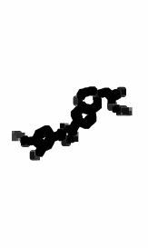 CC(C)Oc1ccc(-c2nc(-c3ccc4c(c3)OCCN(CC(=O)OC(C)(C)C)C4)no2)cc1Cl